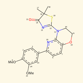 COc1ccc(-c2ccc3c(n2)N(C2=NC(=O)C(C)(C)S2)CCO3)cc1OC